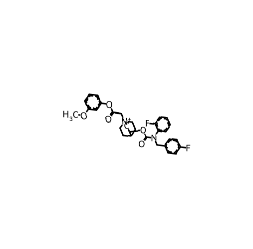 COc1cccc(OC(=O)C[N+]23CCC(CC2)C(OC(=O)N(Cc2ccc(F)cc2)c2ccccc2F)C3)c1